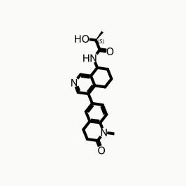 C[C@H](O)C(=O)NC1CCCc2c(-c3ccc4c(c3)CCC(=O)N4C)cncc21